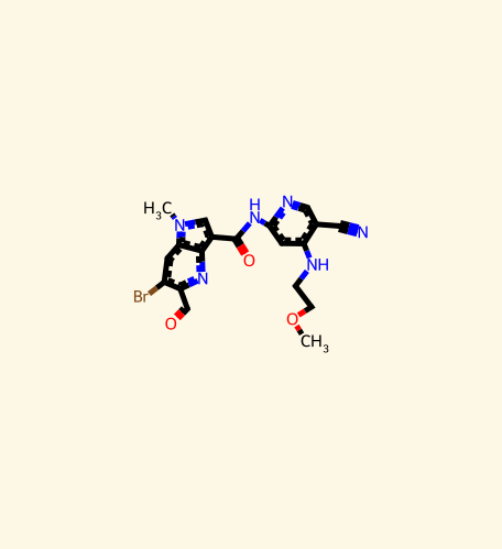 COCCNc1cc(NC(=O)c2cn(C)c3cc(Br)c(C=O)nc23)ncc1C#N